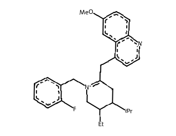 CCC1C[N+](Cc2ccccc2F)=C(Cc2ccnc3ccc(OC)cc23)CC1C(C)C